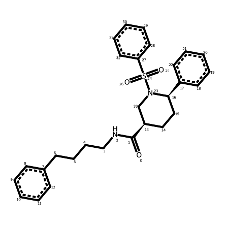 O=C(NCCCCc1ccccc1)[C@@H]1CC[C@H](c2ccccc2)N(S(=O)(=O)c2ccccc2)C1